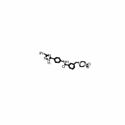 CC(C)c1n[nH]c(-c2ccc(NC(=O)c3cccc(CN4CCS(=O)(=O)CC4)c3)cc2)n1